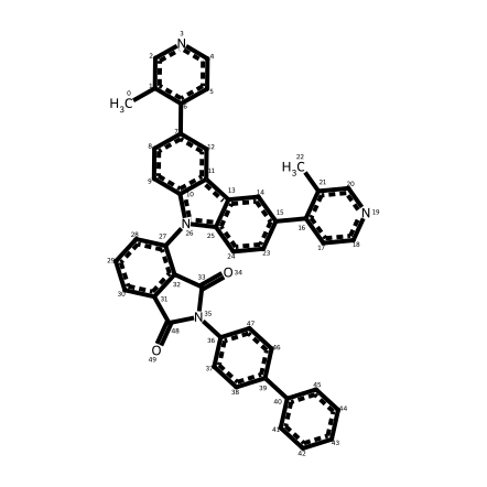 Cc1cnccc1-c1ccc2c(c1)c1cc(-c3ccncc3C)ccc1n2-c1cccc2c1C(=O)N(c1ccc(-c3ccccc3)cc1)C2=O